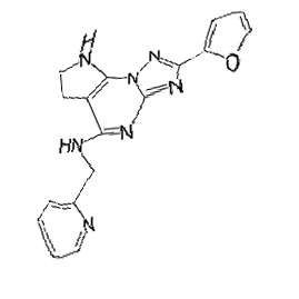 c1ccc(CNc2nc3nc(-c4ccco4)nn3c3c2CCN3)nc1